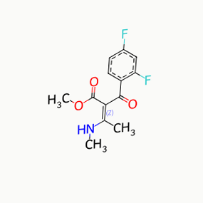 CN/C(C)=C(\C(=O)OC)C(=O)c1ccc(F)cc1F